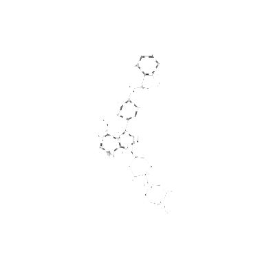 CN1CCN(C2CCC(n3nc(-c4ccc(NC5COc6ccccc65)cc4)c4c(N)ncnc43)CC2)CC1